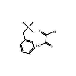 C[N+](C)(C)Cc1ccccc1.O=C(O)C(=O)O